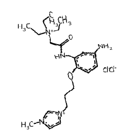 CC[N+](CC)(CC)CC(=O)Nc1cc(N)ccc1OCCC[n+]1ccn(C)c1.[Cl-].[Cl-]